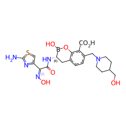 Nc1nc(/C(=N/O)C(=O)N[C@H]2Cc3ccc(CN4CCC(CO)CC4)c(C(=O)O)c3OB2O)cs1